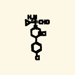 Cl.N[C@](C=O)(C1CC1)N1CCC(c2ccc(Cl)cc2)CC1